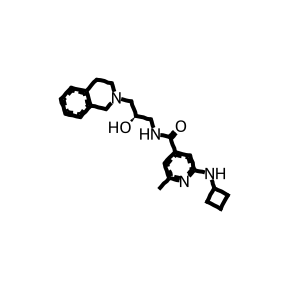 Cc1cc(C(=O)NC[C@H](O)CN2CCc3ccccc3C2)cc(NC2CCC2)n1